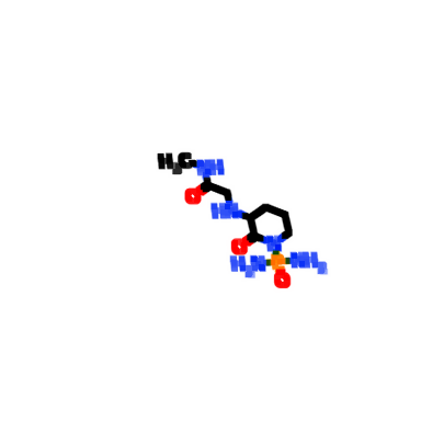 CNC(=O)CN[C@H]1CCCN(P(N)(N)=O)C1=O